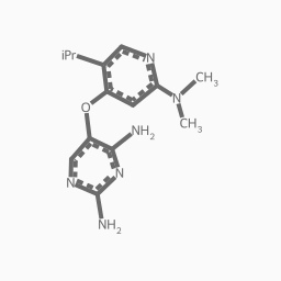 CC(C)c1cnc(N(C)C)cc1Oc1cnc(N)nc1N